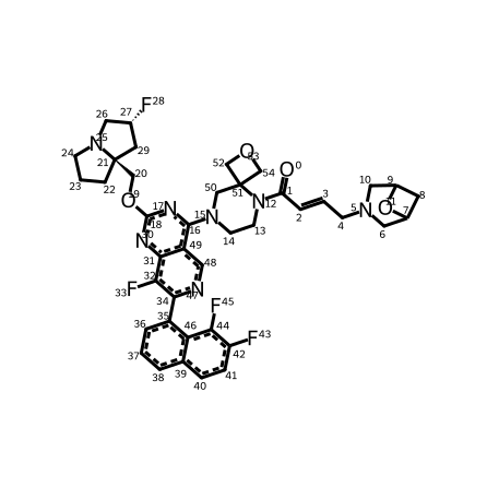 O=C(/C=C/CN1CC2CC(C1)O2)N1CCN(c2nc(OC[C@@]34CCCN3C[C@H](F)C4)nc3c(F)c(-c4cccc5ccc(F)c(F)c45)ncc23)CC12COC2